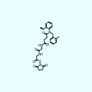 C=Cc1ccccc1N(Cc1ccccc1C)C(=O)CCC(=O)NCC(=O)NCC(=O)ON1C(=O)CCC1=O